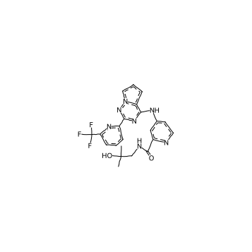 CC(C)(O)CNC(=O)c1cc(Nc2nc(-c3cccc(C(F)(F)F)n3)nn3cccc23)ccn1